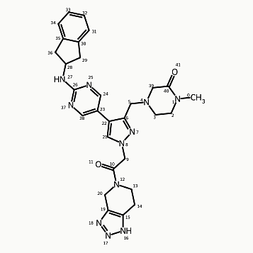 CN1CCN(Cc2nn(CC(=O)N3CCc4[nH]nnc4C3)cc2-c2cnc(NC3Cc4ccccc4C3)nc2)CC1=O